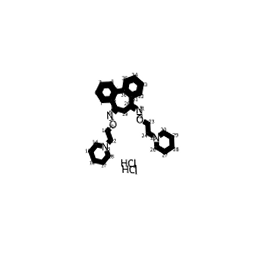 Cl.Cl.c1ccc2c(c1)C(=NOCCN1CCCCC1)CC(=NOCCN1CCCCC1)c1ccccc1-2